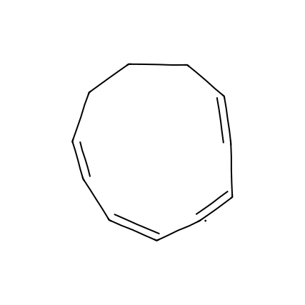 [C]1=CC=CCCCC=CC=C1